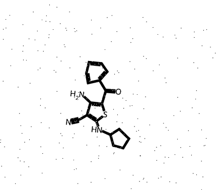 N#Cc1c(NC2CCCC2)sc(C(=O)c2ccccc2)c1N